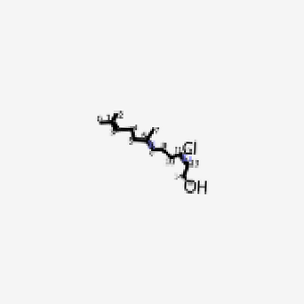 CC(C)=CCC/C(C)=C/CC/C(Cl)=C\CO